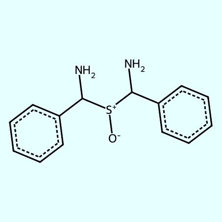 NC(c1ccccc1)[S+]([O-])C(N)c1ccccc1